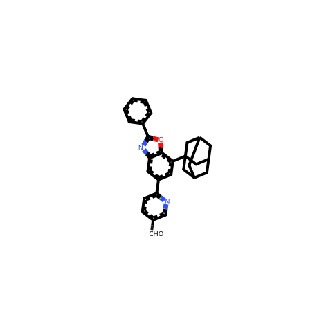 O=Cc1ccc(-c2cc(C34CC5CC(CC(C5)C3)C4)c3oc(-c4ccccc4)nc3c2)nc1